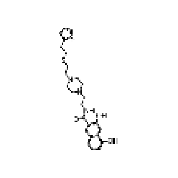 O=C(NCCN1CCN(CCSCCc2cccs2)CC1)c1cc2cccc(O)c2cc1O